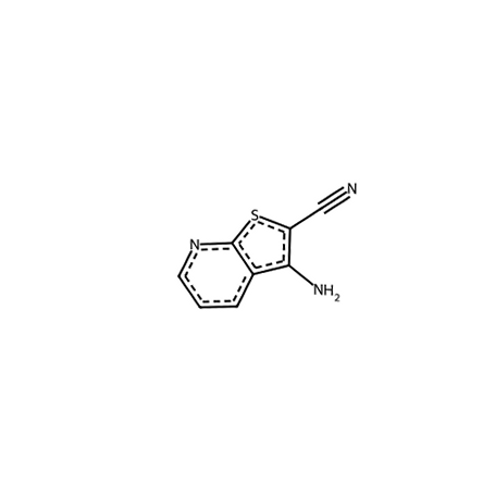 N#Cc1sc2ncccc2c1N